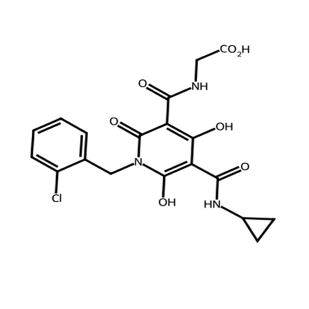 O=C(O)CNC(=O)c1c(O)c(C(=O)NC2CC2)c(O)n(Cc2ccccc2Cl)c1=O